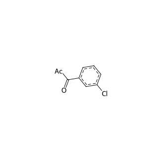 CC(=O)C(=O)c1cccc(Cl)c1